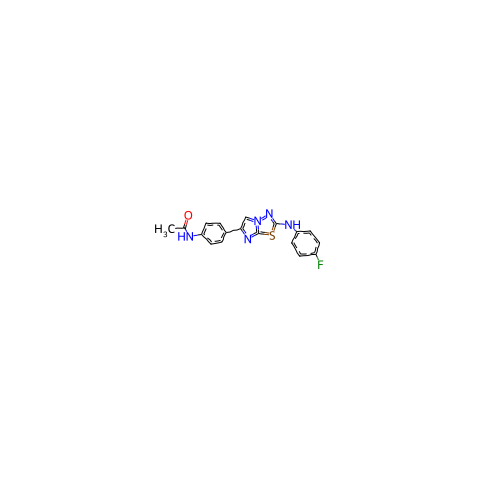 CC(=O)Nc1ccc(-c2cn3nc(Nc4ccc(F)cc4)sc3n2)cc1